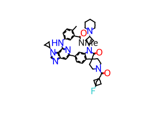 CNC(=O)c1cc(Nc2nc(-c3ccc4c(c3)N([C@H]3C[C@@H](N5CCCCC5)C3)C(=O)C43CCN(C(=O)C45CC(F)(C4)C5)CC3)cc3ncn(C4CC4)c23)ccc1C